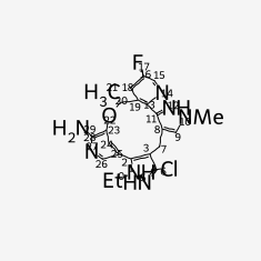 CCN/C1=C(\C(=N)Cl)C/C(=C/NC)C(=N)c2ncc(F)cc2[C@@H](C)Oc2cc1cnc2N